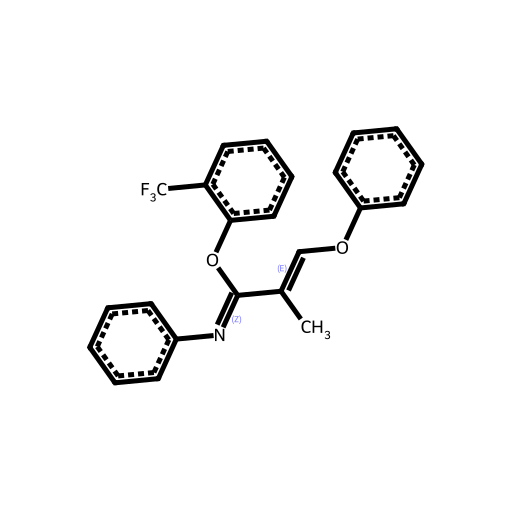 CC(=C\Oc1ccccc1)/C(=N/c1ccccc1)Oc1ccccc1C(F)(F)F